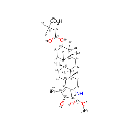 CC(C)OC(=O)N[C@@]12CC[C@]3(C)C(CC[C@@H]4C5(C)CC[C@H](OC(=O)CC(C)(C)C(=O)O)C(C)(C)[C@@H]5CC[C@]43C)C1=C(C(C)C)C(=O)C2